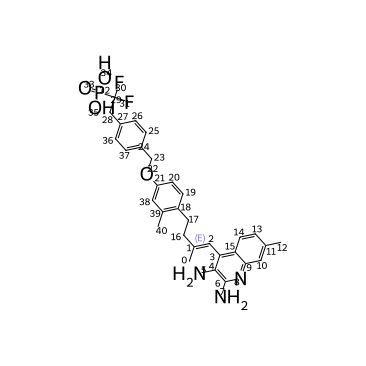 C/C(=C\c1c(N)c(N)nc2cc(C)ccc12)CCc1ccc(OCc2ccc(CC(F)(F)P(=O)(O)O)cc2)cc1C